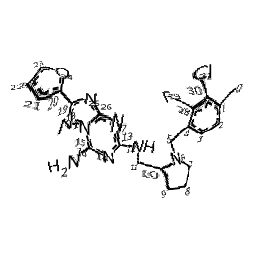 Cc1ccc(CN2CCCC2CNc2nc(N)n3nc(-c4ccco4)nc3n2)c(F)c1Cl